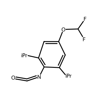 CC(C)c1cc(OC(F)F)cc(C(C)C)c1N=C=O